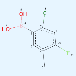 Cc1cc(B(O)O)c(Cl)cc1F